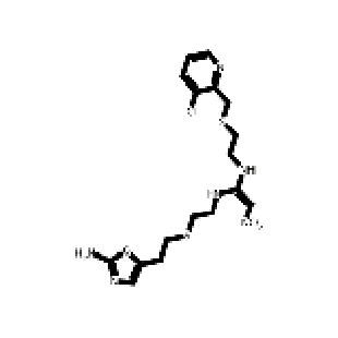 Nc1ncc(CCSCCNC(=C[N+](=O)[O-])NCCSCc2ncccc2Cl)o1